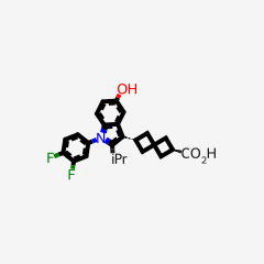 CC(C)c1c([C@H]2CC3(C[C@H](C(=O)O)C3)C2)c2cc(O)ccc2n1-c1ccc(F)c(F)c1